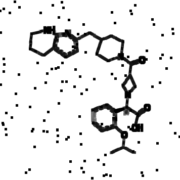 CC(C)Oc1ccccc1[C@H](C(=O)O)N1CC(C(=O)N2CCC(Cc3ccc4c(n3)NCCC4)CC2)C1